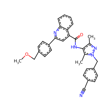 COCc1ccc(-c2cc(C(=O)Nc3c(C)nn(Cc4ccc(C#N)cc4)c3C)c3ccccc3n2)cc1